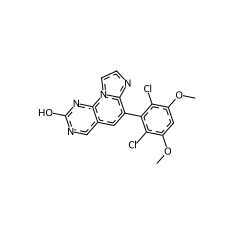 COc1cc(OC)c(Cl)c(-c2cc3cnc(O)nc3n3ccnc23)c1Cl